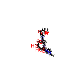 CCC(O)C(C)C1OC1CC(C)(O)/C=C/C=C(\C)C1OC(=O)CC(O)CCC(C)(O)C(OC(=O)N2CCCN(CC(C)C)CC2)/C=C/C1C